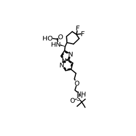 CC(C)(C)[S@@+]([O-])NCOCCc1cnn2cc([C@@H](NC(=O)O)C3CCC(F)(F)CC3)nc2c1